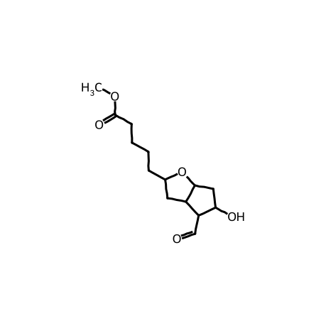 COC(=O)CCCCC1CC2C(CC(O)C2C=O)O1